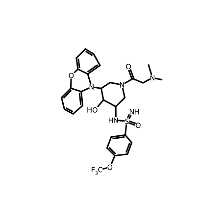 CN(C)CC(=O)N1CC(NS(=N)(=O)c2ccc(OC(F)(F)F)cc2)C(O)C(N2c3ccccc3Oc3ccccc32)C1